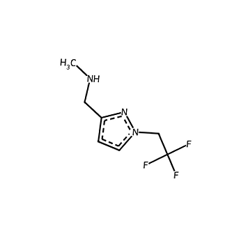 CNCc1ccn(CC(F)(F)F)n1